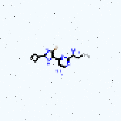 CC[C@H](N)c1nccc(-c2[nH]c(C3CCC3)nc2Br)n1.N